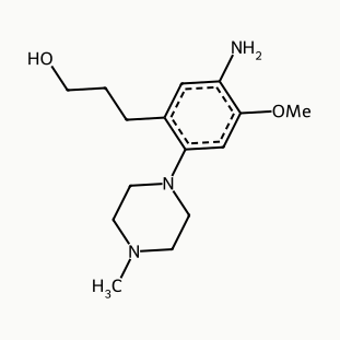 COc1cc(N2CCN(C)CC2)c(CCCO)cc1N